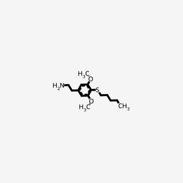 CCCCCSc1c(OC)cc(CCN)cc1OC